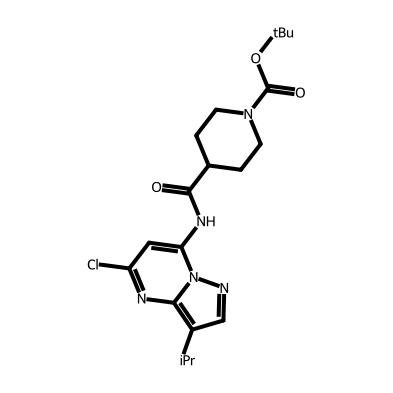 CC(C)c1cnn2c(NC(=O)C3CCN(C(=O)OC(C)(C)C)CC3)cc(Cl)nc12